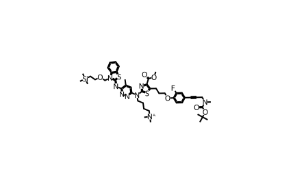 COC(=O)c1nc(N(CCCC[N+](C)(C)C)c2cc(C)c(/N=c3\sc4ccccc4n3COCC[Si](C)(C)C)nn2)sc1CCCOc1ccc(C#CCN(C)C(=O)OC(C)(C)C)cc1F